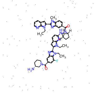 CCn1c(-c2nc3cc(C(=O)N4C[C@H]5CC[C@@H]4[C@@H]5Nc4ccc5cc(-c6nc7cc(C(=O)N8CCC[C@@H](N)C8)cc(F)c7n6CC)n(CC)c5n4)ccc3n2C)cc2cccnc21